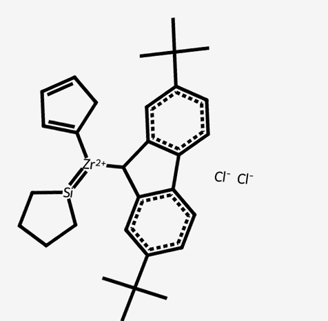 CC(C)(C)c1ccc2c(c1)[CH]([Zr+2]([C]1=CC=CC1)=[Si]1CCCC1)c1cc(C(C)(C)C)ccc1-2.[Cl-].[Cl-]